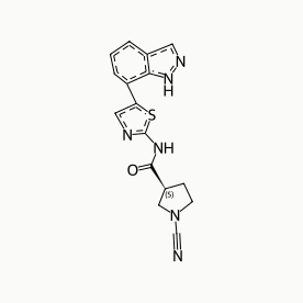 N#CN1CC[C@H](C(=O)Nc2ncc(-c3cccc4cn[nH]c34)s2)C1